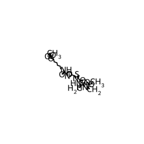 C=C(NC(=O)c1csc(-c2ccc(C(=O)NCCCCCCOS(C)(=O)=O)nc2)n1)C(=O)NC(=C)C(=O)OC